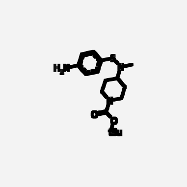 CN(Sc1ccc(N)cc1)C1CCN(C(=O)OC(C)(C)C)CC1